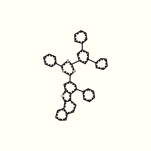 c1ccc(-c2cc(-c3ccccc3)cc(-c3nc(-c4ccccc4)nc(-c4cc(-c5ccccc5)c5c(c4)oc4c6ccccc6ccc45)n3)c2)cc1